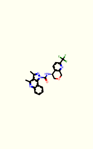 Cc1nc2ccccc2c2c1c(C)nn2C(=O)N[C@@H]1COCc2nc(C(F)(F)F)ccc21